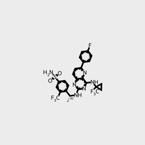 C[C@@H](Nc1nc(NC2(C(F)(F)F)CC2)c2nc(-c3ccc(F)cc3)ccc2n1)c1ccc(S(N)(=O)=O)cc1C(F)(F)F